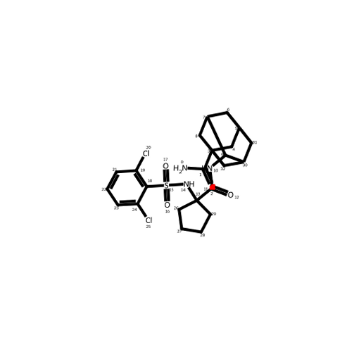 NC(=O)C12CC3CC(C1)C(NC(=O)C1(NS(=O)(=O)c4c(Cl)cccc4Cl)CCCC1)C(C3)C2